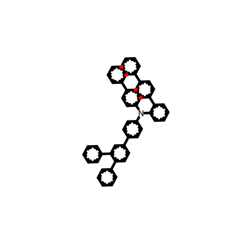 c1ccc(-c2ccc(-c3ccccc3N(c3ccc(-c4ccccc4)cc3)c3ccc(-c4ccc(-c5ccccc5)c(-c5ccccc5)c4)cc3)cc2)cc1